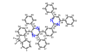 C[Si]1(C)c2ccccc2-c2c(-c3nc(-c4ccccc4)c(-c4cccc(-c5nc(-c6ccccc6)cc(-c6ccccc6)n5)c4)nc3-c3ccccc3)cccc21